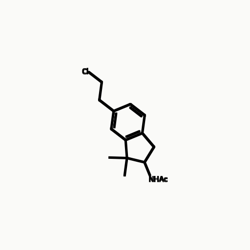 CC(=O)NC1Cc2ccc(CCCl)cc2C1(C)C